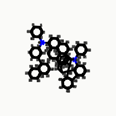 c1ccc(N(c2cccc(-c3cccc4ccccc34)c2)c2ccc3ccc4c(N(c5ccccc5)c5cccc6c5C5(c7ccccc7-6)C6CC7CC(C6)CC5C7)ccc5ccc2c3c54)cc1